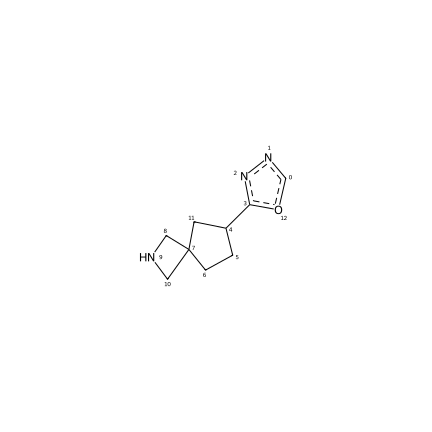 c1nnc(C2CCC3(CNC3)C2)o1